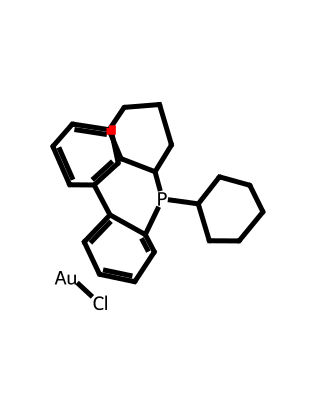 [Cl][Au].c1ccc(-c2ccccc2P(C2CCCCC2)C2CCCCC2)cc1